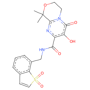 CC1(C)OCCn2c1nc(C(=O)NCc1cccc3c1S(=O)(=O)C=C3)c(O)c2=O